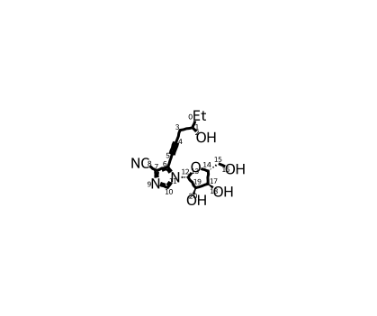 CCC(O)CC#Cc1c(C#N)ncn1[C@@H]1O[C@H](CO)[C@@H](O)[C@H]1O